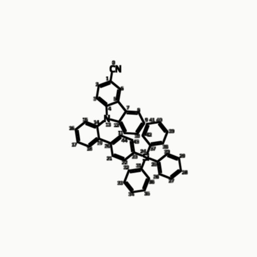 N#Cc1ccc2c(c1)c1ccccc1n2-c1ccccc1-c1ccc([Si](c2ccccc2)(c2ccccc2)c2ccccc2)cc1